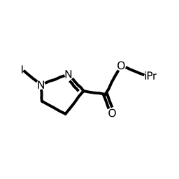 CC(C)OC(=O)C1=NN(I)CC1